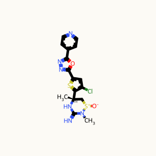 CN1C(=N)N[C@](C)(c2sc(-c3nnc(-c4ccncc4)o3)cc2Cl)C[S+]1[O-]